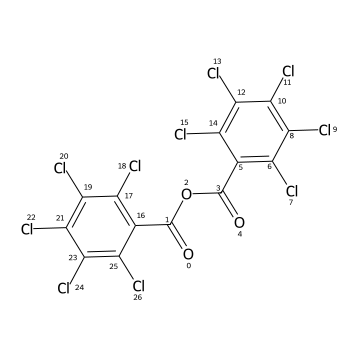 O=C(OC(=O)c1c(Cl)c(Cl)c(Cl)c(Cl)c1Cl)c1c(Cl)c(Cl)c(Cl)c(Cl)c1Cl